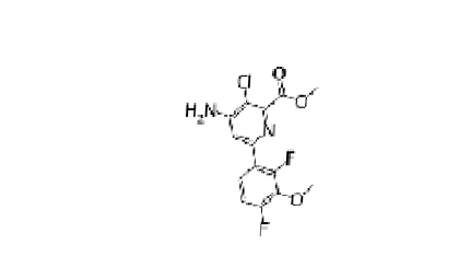 COC(=O)c1nc(-c2ccc(F)c(OC)c2F)cc(N)c1Cl